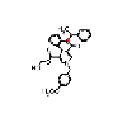 CCOC(=O)C1=CN(Cc2ccc(OC)cc2)C=C(C(=O)OCO)C1c1ccccc1OCc1ccccc1